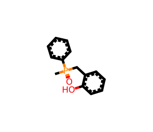 CP(=O)(Cc1ccccc1O)c1ccccc1